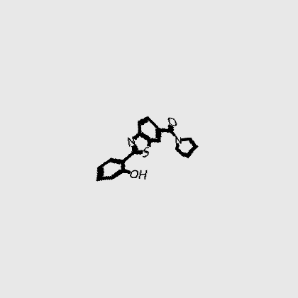 O=C(c1ccc2nc(-c3ccccc3O)sc2c1)N1CCCC1